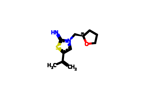 C=C(C)c1cn(C[C@H]2CCCO2)c(=N)s1